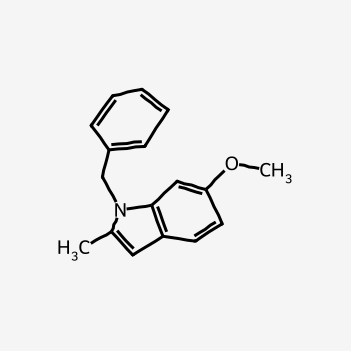 COc1ccc2cc(C)n(Cc3ccccc3)c2c1